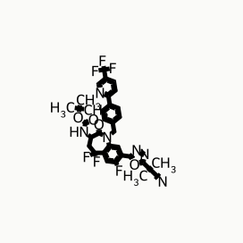 CC(C)(C)OC(=O)NC1CC(F)(F)c2cc(F)c(-c3nnc(C(C)(C)C#N)o3)cc2N(Cc2ccc(-c3ccc(C(F)(F)F)cn3)cc2)C1=O